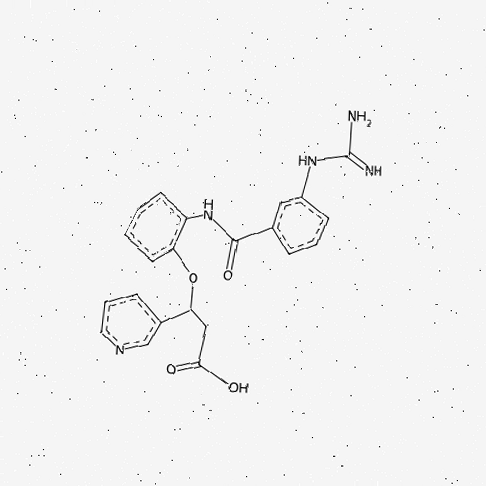 N=C(N)Nc1cccc(C(=O)Nc2ccccc2OC(CC(=O)O)c2cccnc2)c1